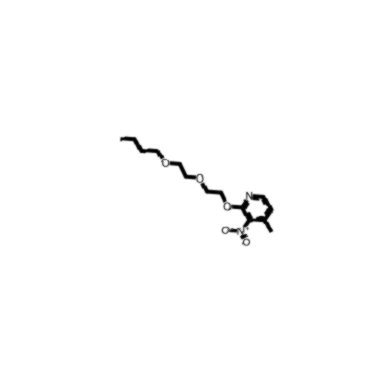 CCCCOCCOCCOc1nccc(C)c1[N+](=O)[O-]